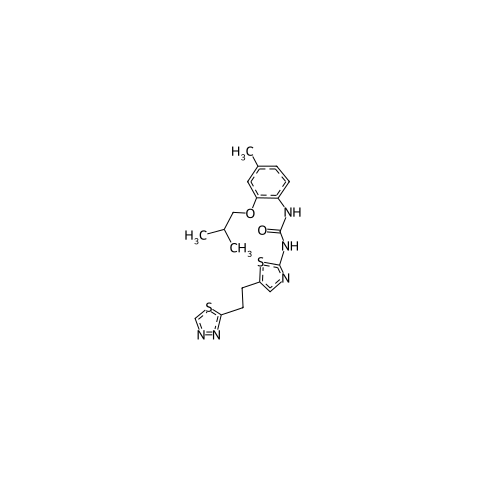 Cc1ccc(NC(=O)Nc2ncc(CCc3nncs3)s2)c(OCC(C)C)c1